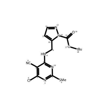 CSc1nc(Cl)c(C#N)c(NCc2ccnn2C(=O)OC(C)(C)C)n1